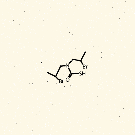 CC(Br)CN(CC(C)Br)C(=O)S